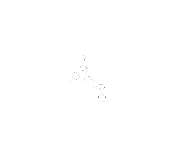 N#Cc1cn(-c2ccc(Cl)cc2C2=CC(O)N3C(=C2)CC[C@H]3c2nc(Cl)c(-c3ccc(N)nc3)[nH]2)nn1